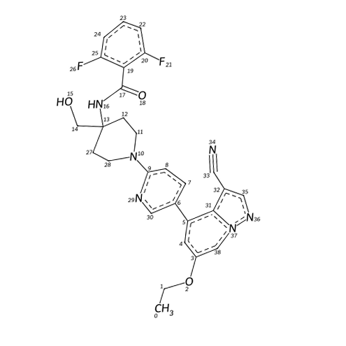 CCOc1cc(-c2ccc(N3CCC(CO)(NC(=O)c4c(F)cccc4F)CC3)nc2)c2c(C#N)cnn2c1